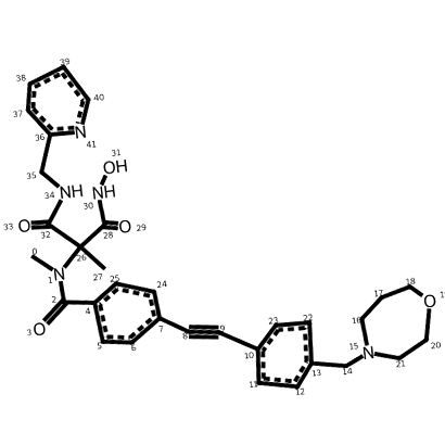 CN(C(=O)c1ccc(C#Cc2ccc(CN3CCCOCC3)cc2)cc1)C(C)(C(=O)NO)C(=O)NCc1ccccn1